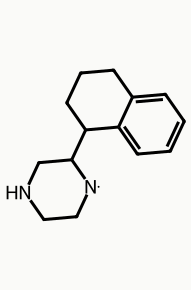 c1ccc2c(c1)CCCC2C1CNCC[N]1